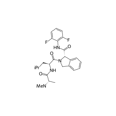 CN[C@@H](C)C(=O)N[C@@H](CC(C)C)C(=O)N1Cc2ccccc2[C@H]1C(=O)Nc1c(F)cccc1F